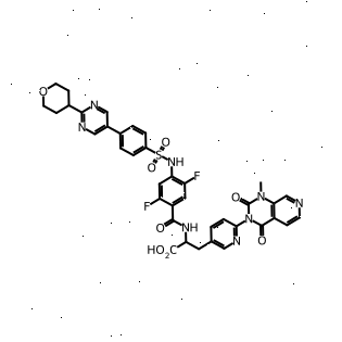 Cn1c(=O)n(-c2ccc(CC(NC(=O)c3cc(F)c(NS(=O)(=O)c4ccc(-c5cnc(C6CCOCC6)nc5)cc4)cc3F)C(=O)O)cn2)c(=O)c2ccncc21